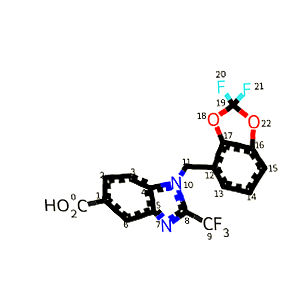 O=C(O)c1ccc2c(c1)nc(C(F)(F)F)n2Cc1cccc2c1OC(F)(F)O2